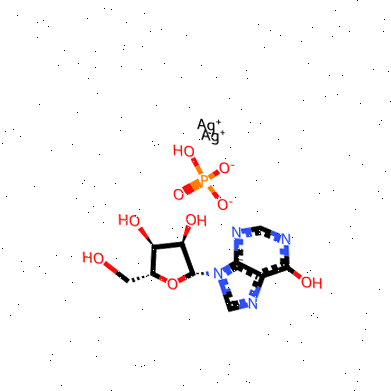 O=P([O-])([O-])O.OC[C@H]1O[C@@H](n2cnc3c(O)ncnc32)[C@H](O)[C@@H]1O.[Ag+].[Ag+]